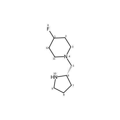 FC1CCN(C[C@@H]2CCCN2)CC1